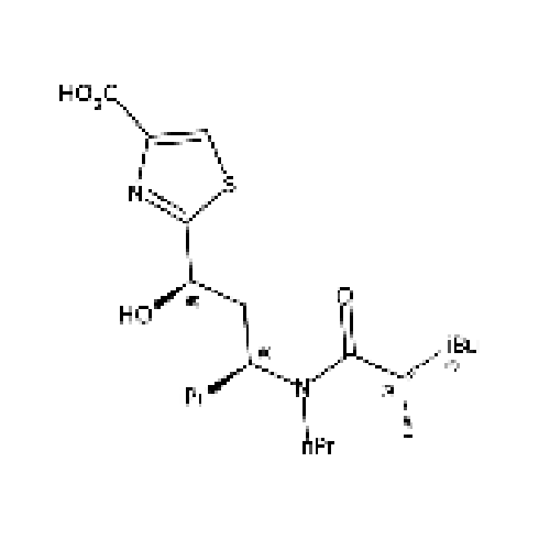 CCCN(C(=O)[C@@H](C)[C@@H](C)CC)[C@H](C[C@@H](O)c1nc(C(=O)O)cs1)C(C)C